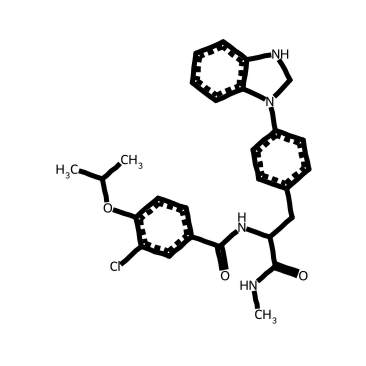 CNC(=O)C(Cc1ccc(N2CNc3ccccc32)cc1)NC(=O)c1ccc(OC(C)C)c(Cl)c1